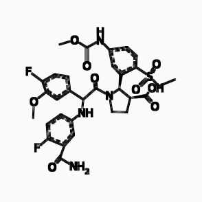 CCS(=O)(=O)c1ccc(NC(=O)OC)cc1[C@H]1[C@@H](C(=O)O)CCN1C(=O)C(Nc1ccc(F)c(C(N)=O)c1)c1ccc(F)c(OC)c1